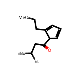 CCCCC(CC)CC(=O)C1C=CC=C1CCOC